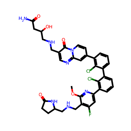 COc1nc(-c2cccc(-c3cccc(-c4ccn5c(=O)c(CNCC(O)CC(N)=O)cnc5c4)c3Cl)c2Cl)cc(F)c1CNCC1CCC(=O)N1